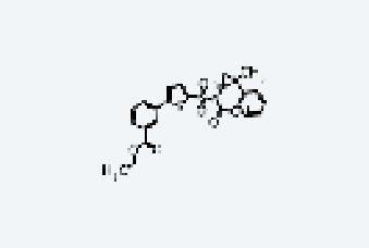 CCOC(=O)c1cccc(-c2ccc(S(=O)(=O)N(C(=O)O)[C@H]3C[C@]3(C)c3ccccc3)s2)c1